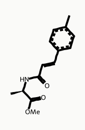 COC(=O)[C@@H](C)NC(=O)/C=C/c1ccc(C)cc1